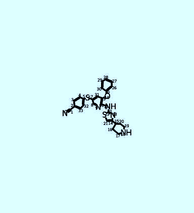 N#Cc1ccc(Sc2cnc(Nc3nc(C4CCNCC4)cs3)c(Oc3ccccc3)c2)cc1